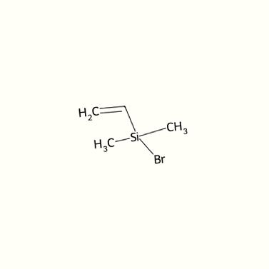 C=C[Si](C)(C)Br